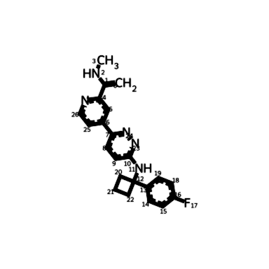 C=C(NC)c1cc(-c2ccc(NC3(c4ccc(F)cc4)CCC3)nn2)ccn1